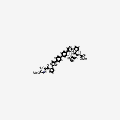 COO/C=N\[C@@H](C)C(=O)N1CCC[C@H]1c1ncc(-c2ccc(-c3ccc(-c4cnc([C@@H]5CCCN5C(O)[C@@H](Cc5c[nH]nn5)NC(=O)OC)[nH]4)cc3)cc2)[nH]1